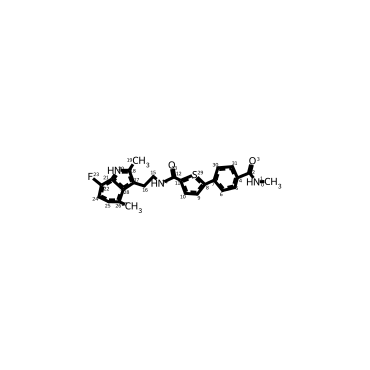 CNC(=O)c1ccc(-c2ccc(C(=O)NCCc3c(C)[nH]c4c(F)ccc(C)c34)s2)cc1